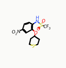 O=[N+]([O-])c1ccc(NS(=O)(=O)C(F)(F)F)c(OC2CCSCC2)c1